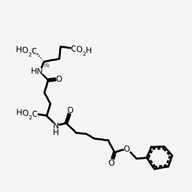 O=C(O)CC[C@H](NC(=O)CCC(NC(=O)CCCCC(=O)OCc1ccccc1)C(=O)O)C(=O)O